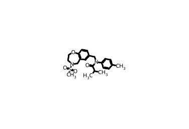 Cc1ccc(N(Cc2ccc3c(c2)CN(S(C)(=O)=O)CCO3)C(=O)C(C)C)cc1